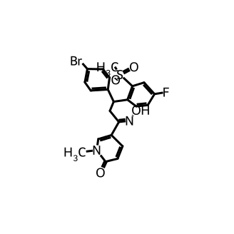 Cn1cc(/C(CC(c2ccc(Br)cc2)c2ccc(F)cc2S(C)(=O)=O)=N/O)ccc1=O